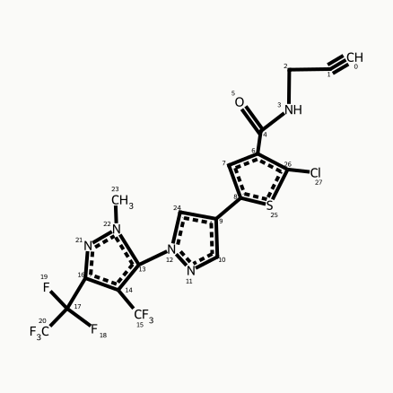 C#CCNC(=O)c1cc(-c2cnn(-c3c(C(F)(F)F)c(C(F)(F)C(F)(F)F)nn3C)c2)sc1Cl